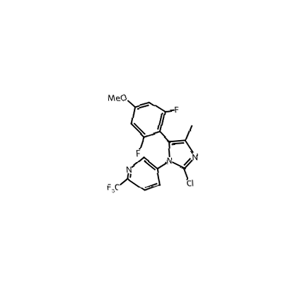 COc1cc(F)c(-c2c(C)nc(Cl)n2-c2ccc(C(F)(F)F)nc2)c(F)c1